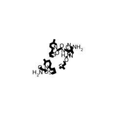 CC1CCC(c2cccs2)N(C(=O)C(=O)Nc2cnc(N)c3cnn(COCC[Si](C)(C)C)c23)C1.CC1CCC(c2cccs2)N(C(=O)C(N)=O)C1